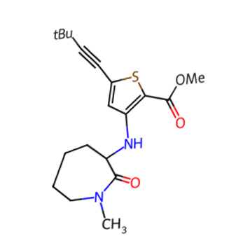 COC(=O)c1sc(C#CC(C)(C)C)cc1NC1CCCCN(C)C1=O